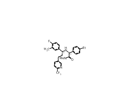 CCc1ccc([C@H](N[C@@H](CCc2ccc(C(F)(F)F)nc2)c2ccc(F)c(C)c2)C(=O)NC)cc1